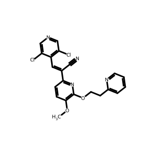 COc1ccc(/C(C#N)=C/c2c(Cl)cncc2Cl)nc1OCCc1ccccn1